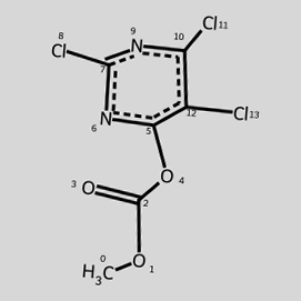 COC(=O)Oc1nc(Cl)nc(Cl)c1Cl